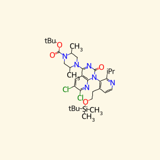 CC(C)c1nccc(CCO[Si](C)(C)C(C)(C)C)c1-n1c(=O)nc(N2CC(C)N(C(=O)OC(C)(C)C)CC2C)c2cc(Cl)c(Cl)nc21